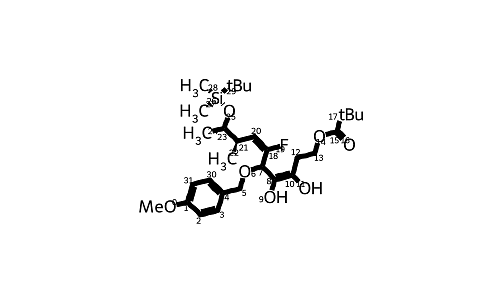 COc1ccc(COC(/C(O)=C(/O)CCOC(=O)C(C)(C)C)/C(F)=C\[C@@H](C)C(C)O[Si](C)(C)C(C)(C)C)cc1